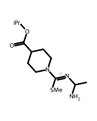 CS/C(=N\C(C)N)N1CCC(C(=O)OC(C)C)CC1